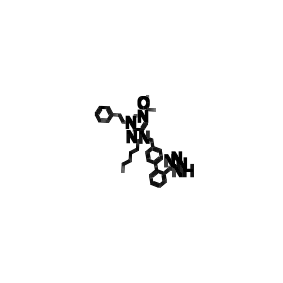 CCCCCC1N=C2C(=CN(C(C)OC)CN2CCc2ccccc2)N1Cc1ccc(-c2ccccc2-c2nnn[nH]2)cc1